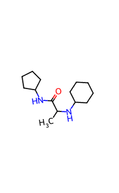 CC(NC1CCCCC1)C(=O)NC1CCCC1